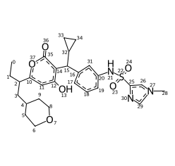 CCC(CC1CCOCC1)c1cc(O)c(C(c2cccc(NS(=O)(=O)c3cn(C)cn3)c2)C2CC2)c(=O)o1